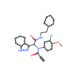 C#CC(=O)N(c1ccc(OC)c(Cl)c1)C(C(=O)NCCc1ccccc1)c1n[nH]c2ccccc12